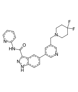 O=C(Nc1ccccn1)c1n[nH]c2ccc(-c3cncc(CN4CCC(F)(F)CC4)c3)cc12